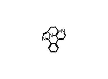 c1ccc2c(c1)c1ccnc3c1n1c(cnc21)CC3